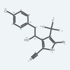 N#Cc1[nH]c(Br)c(C(F)(F)F)c1C(O)Cc1ccc(Cl)cc1